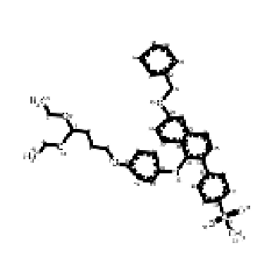 CCOC(CCCOc1ccc(Oc2c(-c3ccc(S(C)(=O)=O)cc3)ccc3cc(OCc4ccccc4)ccc23)cc1)OCC